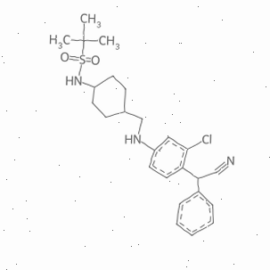 CC(C)(C)S(=O)(=O)NC1CCC(CNc2ccc(C(C#N)c3ccccc3)c(Cl)c2)CC1